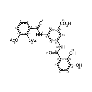 CC(=O)Oc1cccc(C(=O)Nc2cc(NC(=O)c3cccc(O)c3O)cc(C(=O)O)c2)c1OC(C)=O